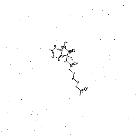 CC(=O)CCCCCC(=O)CC1(C)C(=O)N(C)c2ccccc21